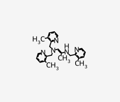 CC(=CN(Cc1ncccc1C)Cc1ncccc1C)NCc1ncccc1C